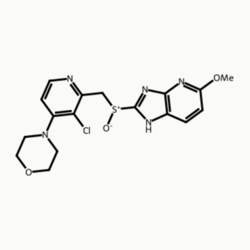 COc1ccc2[nH]c([S+]([O-])Cc3nccc(N4CCOCC4)c3Cl)nc2n1